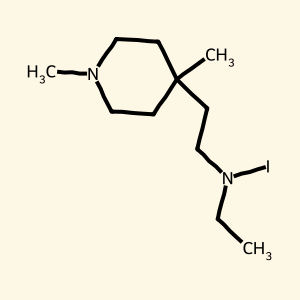 CCN(I)CCC1(C)CCN(C)CC1